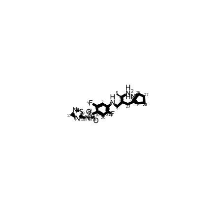 C[C@@H](N)C(CNc1cc(F)c(S(=O)(=O)Nc2ncns2)cc1F)CC1NC2CCC1C2